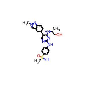 C[C@H](CO)Nc1nc(Nc2ccc([S@@](C)(=N)=O)cc2)ncc1-c1ccc2nn(C)cc2c1